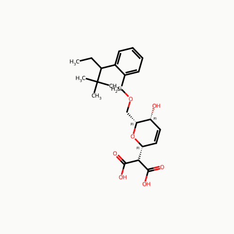 CCC(c1ccccc1[SiH2]OC[C@H]1O[C@@H](C(C(=O)O)C(=O)O)C=C[C@H]1O)C(C)(C)C